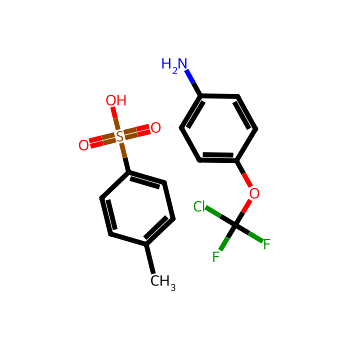 Cc1ccc(S(=O)(=O)O)cc1.Nc1ccc(OC(F)(F)Cl)cc1